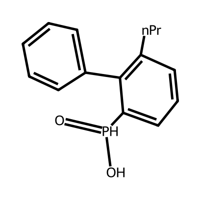 CCCc1cccc([PH](=O)O)c1-c1ccccc1